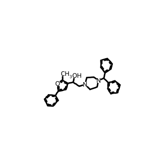 Cc1oc(-c2ccccc2)cc1C(O)CN1CCN(C(c2ccccc2)c2ccccc2)CC1